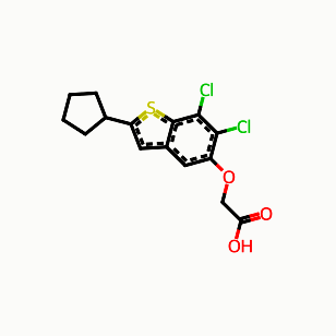 O=C(O)COc1cc2cc(C3CCCC3)sc2c(Cl)c1Cl